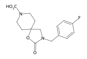 O=C(O)N1CCC2(CC1)CN(Cc1ccc(F)cc1)C(=O)O2